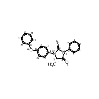 C[C@H]1C(=O)N(c2ccccc2)C(=S)N1c1ccc(Oc2ccccc2)cc1